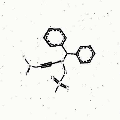 CS(=O)(=O)OP(C#CP(F)F)C(c1ccccc1)c1ccccc1